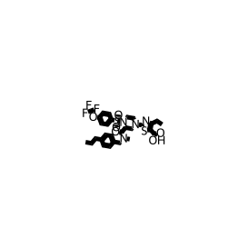 CCCc1ccc(CN(C)C(=O)C2CN(c3nc(CC)c(C(=O)O)s3)CCN2S(=O)(=O)c2ccc(OC(F)(F)F)cc2)cc1